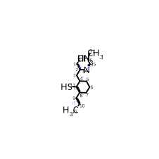 C/C=C(CC1CCCC(/C=C/C)=C1S)\N=C/NC